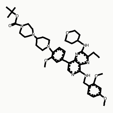 CCc1nc2c(NCc3ccc(OC)cc3OC)ncc(-c3ccc(N4CCC(N5CCN(C(=O)OC(C)(C)C)CC5)CC4)c(OC)c3)c2nc1NC1CCOCC1